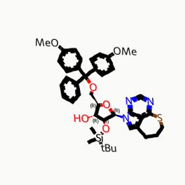 COc1ccc(C(OC[C@H]2O[C@@H](n3cc4c5c(ncnc53)SCCC4)[C@H](O[Si](C)(C)C(C)(C)C)[C@@H]2O)(c2ccccc2)c2ccc(OC)cc2)cc1